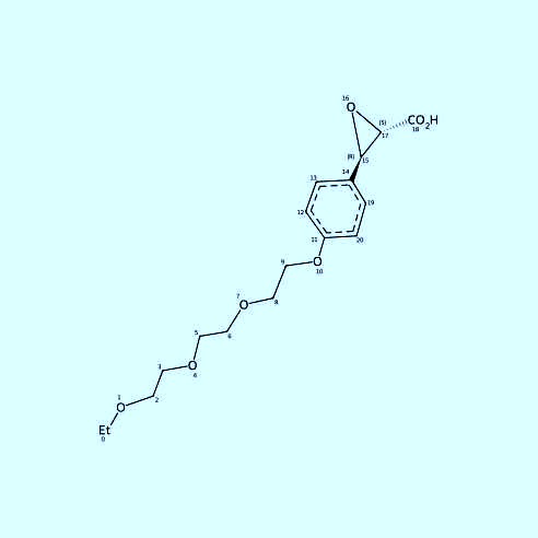 CCOCCOCCOCCOc1ccc([C@H]2O[C@@H]2C(=O)O)cc1